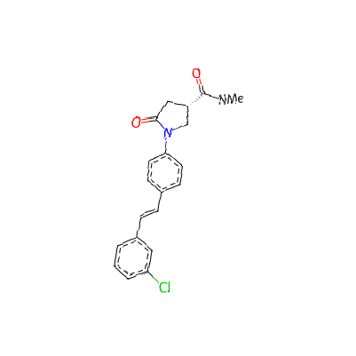 CNC(=O)[C@H]1CC(=O)N(c2ccc(/C=C/c3cccc(Cl)c3)cc2)C1